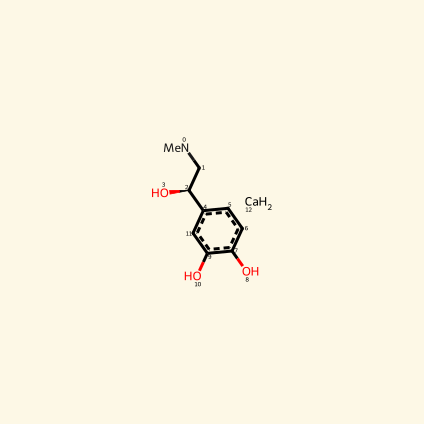 CNC[C@H](O)c1ccc(O)c(O)c1.[CaH2]